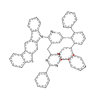 c1ccc(-c2nc(Cc3cc(-c4c(-c5ccccc5)cccc4-c4ccccc4)cnc3-n3c4ccccc4c4cc5c(cc43)sc3ccccc35)nc(-c3ccccc3)n2)cc1